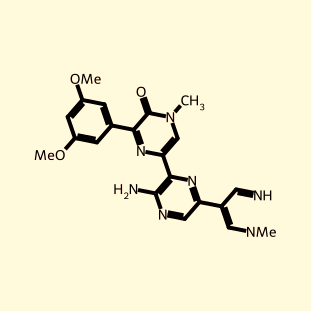 CN/C=C(\C=N)c1cnc(N)c(-c2cn(C)c(=O)c(-c3cc(OC)cc(OC)c3)n2)n1